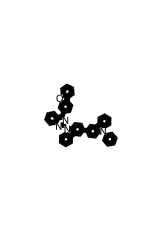 c1ccc(-n2c3ccccc3c3cc(-c4ccc5c(c4)c4ccccc4n5-c4nc(-c5ccc6c(c5)oc5ccccc56)c5ccccc5n4)ccc32)cc1